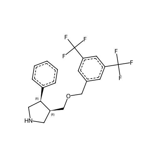 FC(F)(F)c1cc(COC[C@H]2CNC[C@H]2c2ccccc2)cc(C(F)(F)F)c1